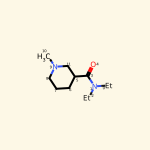 CCN(CC)C(=O)C1CCCN(C)C1